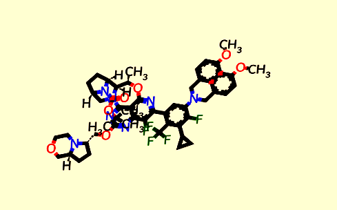 COc1ccc(CN(Cc2ccc(OC)cc2)c2cc(-c3nc4c5c(nc(OC[C@@H]6CC[C@H]7COCCN76)nc5c3F)N3C[C@H]5CC[C@@H]([C@H]3[C@H](C)O4)N5C(=O)OC(C)(C)C)c(C(F)(F)F)c(C3CC3)c2F)cc1